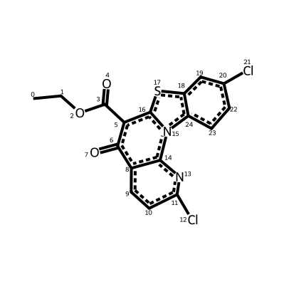 CCOC(=O)c1c(=O)c2ccc(Cl)nc2n2c1sc1cc(Cl)ccc12